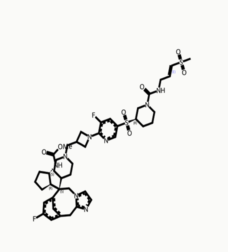 COC(=O)N[C@H]1CCC[C@@H]1[C@]1(C2CCN(CC3CN(c4ncc(S(=O)(=O)[C@@H]5CCCN(C(=O)NC/C=C/S(C)(=O)=O)C5)cc4F)C3)CC2)Cn2ccnc2Cc2cc(F)cc1c2